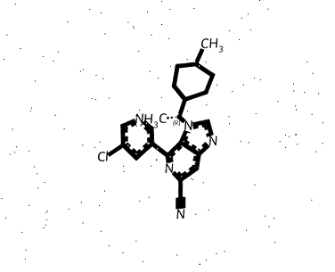 CC1CCC([C@@H](C)n2cnc3cc(C#N)nc(-c4cncc(Cl)c4)c32)CC1